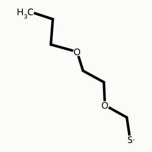 CCCOCCOC[S]